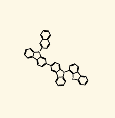 c1ccc2cc(-n3c4ccccc4c4ccc(-c5ccc6c(c5)c5ccccc5n6-c5cccc6c5oc5ccccc56)cc43)ccc2c1